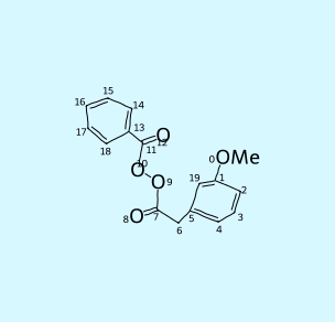 COc1cccc(CC(=O)OOC(=O)c2ccccc2)c1